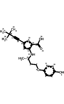 C[C@@H](CCOc1ccc(O)nn1)Nc1cc(C#CC(C)(C)C)sc1C(=O)O